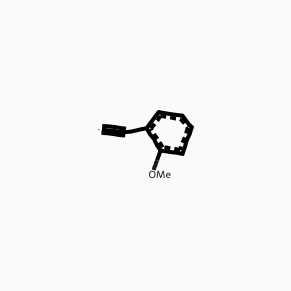 [C]#Cc1ccccc1OC